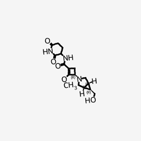 COC1=C(C(=O)NC2CCC(=O)NC2=O)C[C@H]1N1C[C@@H]2[C@@H](CO)[C@@H]2C1